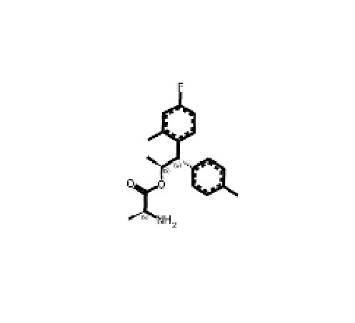 Cc1ccc([C@@H](c2ccc(F)cc2C)[C@H](C)OC(=O)[C@H](C)N)cc1